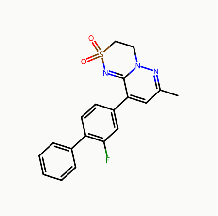 CC1=NN2CCS(=O)(=O)N=C2C(c2ccc(-c3ccccc3)c(F)c2)=C1